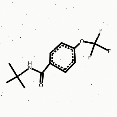 CC(C)(C)NC(=O)c1ccc(OC(F)(F)F)cc1